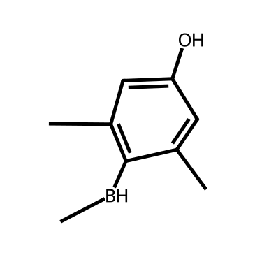 CBc1c(C)cc(O)cc1C